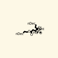 CCCCCCCCCCCCOC(=O)CCC(CC)(CCCCCCCCCCCC)P(=O)(O)O